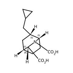 O=C(O)[C@@H]1[C@@H]2CC[C@@H]([C@@H](CC3CC3)C2)N1C(=O)O